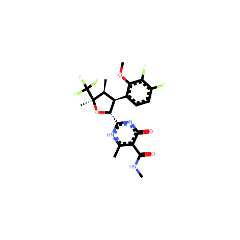 CNC(=O)c1c(C)[nH]c([C@@H]2O[C@@](C)(C(F)(F)F)[C@@H](C)[C@H]2c2ccc(F)c(F)c2OC)nc1=O